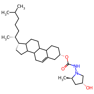 CC(C)CCC[C@@H](C)[C@H]1CCC2C3CC=C4C[C@@H](OC(=O)NN5C[C@H](O)C[C@H]5C)CCC4C3CCC21